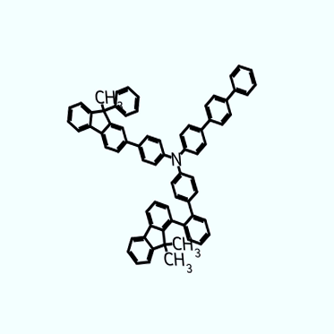 CC1(C)c2ccccc2-c2cccc(-c3ccccc3-c3ccc(N(c4ccc(-c5ccc(-c6ccccc6)cc5)cc4)c4ccc(-c5ccc6c(c5)C(C)(c5ccccc5)c5ccccc5-6)cc4)cc3)c21